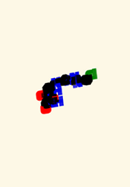 O=C1CCC(N2Cc3cc(CNCC4CCN(c5cnc(-c6cccc(Cl)c6)cn5)CC4)ccc3C2=O)C(=O)N1